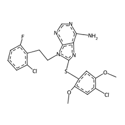 COc1cc(Sc2nc3c(N)ncnc3n2CCc2c(F)cccc2Cl)c(OC)cc1Cl